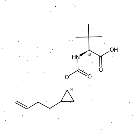 C=CCCC1C[C@H]1OC(=O)N[C@H](C(=O)O)C(C)(C)C